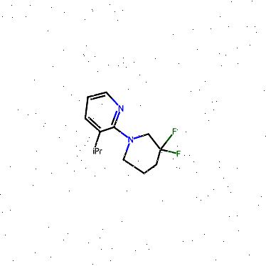 CC(C)c1cccnc1N1CCCC(F)(F)C1